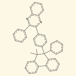 CC1(C)c2ccccc2-c2ccccc2C1(c1ccccc1)c1ccc(-c2nc3ccccc3nc2-c2ccccc2)cc1